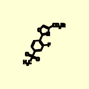 CCOC(=O)c1coc(-c2ccc(S(C)(=O)=O)cc2F)n1